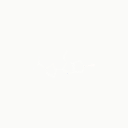 CCn1c(-c2ccn(C(F)F)n2)nc2c1CN(O)C2